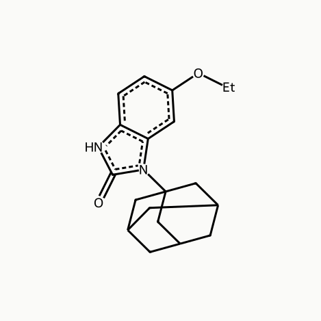 CCOc1ccc2[nH]c(=O)n(C34CC5CC(CC(C5)C3)C4)c2c1